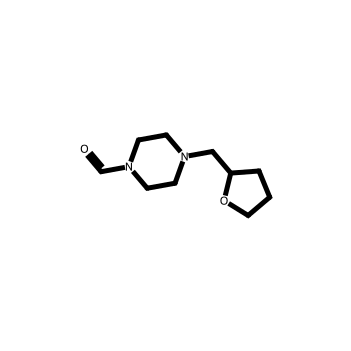 O=CN1CCN(CC2CCCO2)CC1